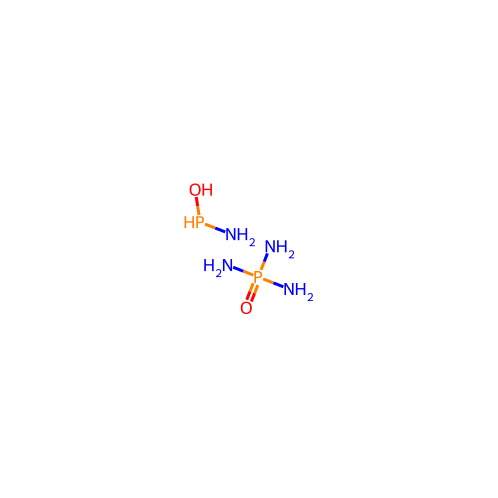 NP(N)(N)=O.NPO